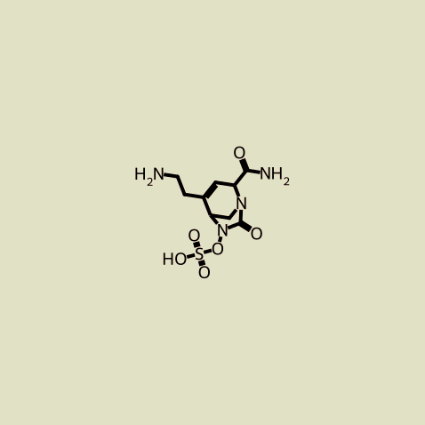 NCCC1=CC(C(N)=O)N2CC1N(OS(=O)(=O)O)C2=O